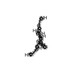 O=C(NC(Cc1ccc(OCCCCC2CCNCC2)cc1)C(=O)O)c1cc2cc(OC(=O)C(Cc3ccc(OCCCCC4CCNCC4)cc3)NC(=O)c3nc4ccccc4s3)ccc2[nH]1